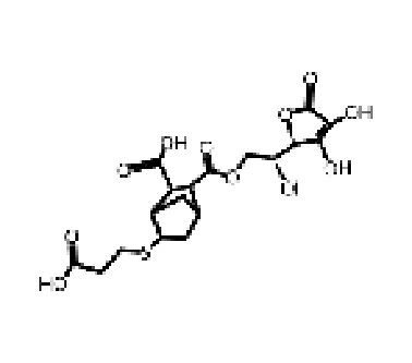 O=C(O)CCSC1CC2CC1C(C(=O)O)C2C(=O)OC[C@H](O)[C@H]1OC(=O)C(O)=C1O